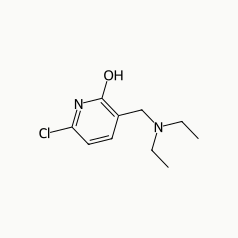 CCN(CC)Cc1ccc(Cl)nc1O